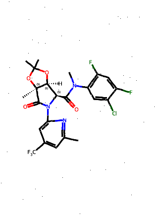 Cc1cc(C(F)(F)F)cc(N2C(=O)[C@@]3(C)OC(C)(C)O[C@H]3[C@H]2C(=O)N(C)c2cc(Cl)c(F)cc2F)n1